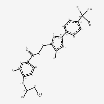 Cc1cc(C(=O)CCc2sc(-c3ccc(C(F)(F)F)cc3)nc2C)ccc1OC(C)CO